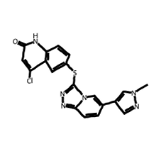 Cn1cc(-c2ccc3nnc(Sc4ccc5[nH]c(=O)cc(Cl)c5c4)n3c2)cn1